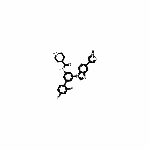 Cn1cc(-c2ccc3c(c2)ncn3-c2cc(NC(=O)C3CCNCC3)cc(-c3ccc(F)cc3F)c2)cn1